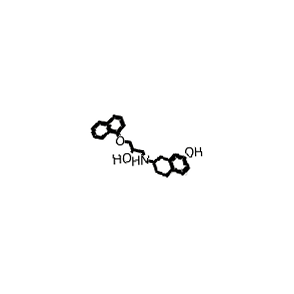 Oc1ccc2c(c1)CC(NCC(O)COc1cccc3ccccc13)CC2